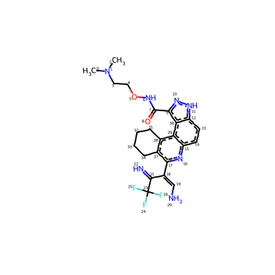 CN(C)CCONC(=O)c1n[nH]c2ccc3nc(/C(=C/N)C(=N)C(F)(F)F)c4c(c3c12)CCCC4